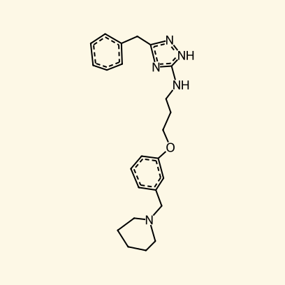 c1ccc(Cc2n[nH]c(NCCCOc3cccc(CN4CCCCC4)c3)n2)cc1